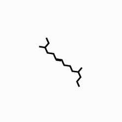 CCCC(C)CCCC=CCCC(C)CC